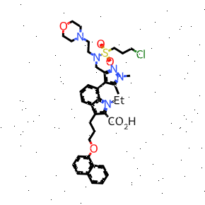 CCn1c(C(=O)O)c(CCCOc2cccc3ccccc23)c2cccc(-c3c(CN(CCN4CCOCC4)S(=O)(=O)CCCCl)nn(C)c3C)c21